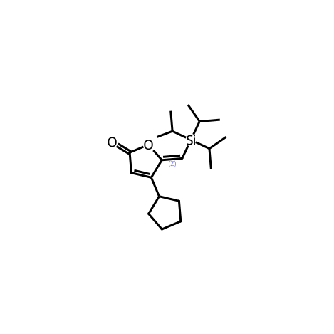 CC(C)[Si](/C=C1\OC(=O)C=C1C1CCCC1)(C(C)C)C(C)C